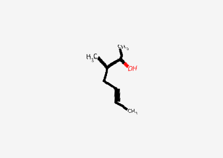 C/C=C/CC(C)C(C)O